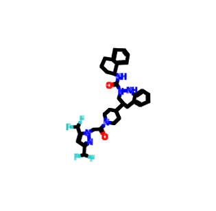 O=C(Cn1nc(C(F)F)cc1C(F)F)N1CCC(C2Cc3ccccc3NN(C(=O)NC3CCCc4ccccc43)C2)CC1